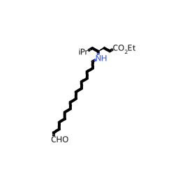 CCOC(=O)CC[C@H](CC(C)C)NCCCCCCCCCCCCCCCC=O